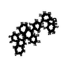 c1ccc2c(c1)cc(-c1c3ccccc3c(-c3ccc(-c4cccc5oc6ccccc6c45)cc3)c3ccccc13)c1ccccc12